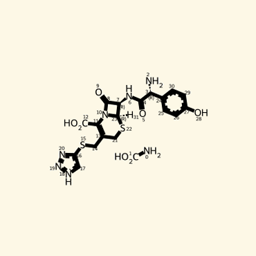 NC(=O)O.N[C@@H](C(=O)N[C@@H]1C(=O)N2C(C(=O)O)=C(CSc3c[nH]nn3)CS[C@H]12)c1ccc(O)cc1